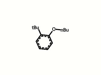 CCCCOc1ccccc1C(C)(C)C